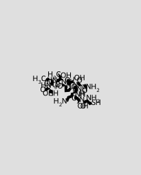 CC(C)C[C@H](NC(=O)[C@@H](NC(=O)[C@@H]1CCCN1C(=O)[C@H](CO)NC(=O)[C@H](CC(N)=O)NC(=O)[C@H](CCCCN)NC(=O)[C@H](CO)NC(=O)[C@@H](N)CS)[C@@H](C)O)C(=O)N[C@@H](CS)C(=O)O